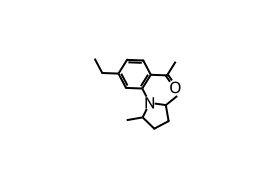 CCc1ccc(C(C)=O)c(N2C(C)CCC2C)c1